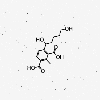 Cc1c(C(=O)O)ccc(C(O)CCCCO)c1C(=O)O